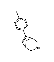 Clc1ccc(C2=CC3CNCC2C3)cn1